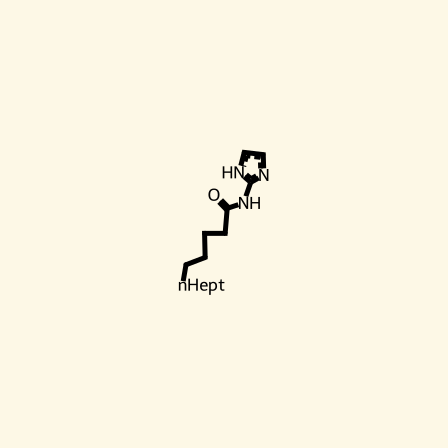 CCCCCCCCCCCC(=O)Nc1ncc[nH]1